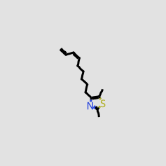 C=C/C=C\CCCCCc1nc(C)sc1C